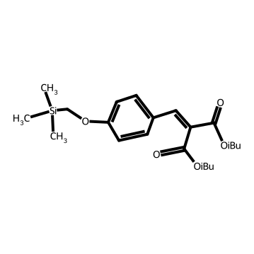 CC(C)COC(=O)C(=Cc1ccc(OC[Si](C)(C)C)cc1)C(=O)OCC(C)C